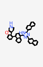 C1=Cc2c(oc3cccc(-c4ccc(C5=NC(c6ccc7ccccc7c6)=NC(c6ccc7ccccc7c6)N5)c5ccccc45)c23)CN1